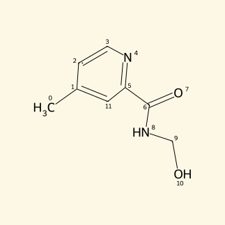 Cc1[c]cnc(C(=O)NCO)c1